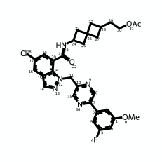 COc1cc(F)cc(-c2cnc(Cn3ncc4cc(Cl)cc(C(=O)NC5CC6(CC(CCOC(C)=O)C6)C5)c43)cn2)c1